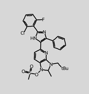 CC1N(CC(C)(C)C)c2nc(-c3[nH]c(-c4c(F)cccc4Cl)nc3-c3ccccc3)ccc2N1OS(C)(=O)=O